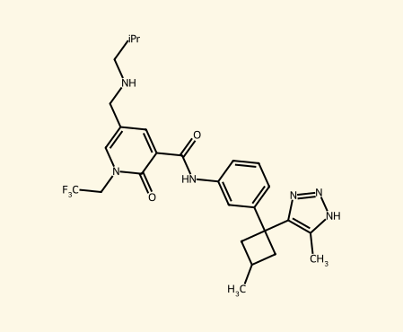 Cc1[nH]nnc1C1(c2cccc(NC(=O)c3cc(CNCC(C)C)cn(CC(F)(F)F)c3=O)c2)CC(C)C1